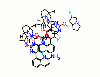 C[C@@H]1Oc2nc(-c3cccc4ccc(N)nc34)c(F)c3nc(OC[C@@]45CC(N6[C@@H]7CC[C@H]6[C@H]6[C@H](C)Oc8nc(-c9cccc%10ccc(N)nc9%10)c(F)c9nc(OC[C@@]%10%11CCCN%10C[C@H](F)C%11)nc(c89)N6C7)CN4C[C@H](F)C5)nc(c23)N2C[C@H]3CC[C@@H]([C@@H]12)N3C(=O)OC(C)(C)C